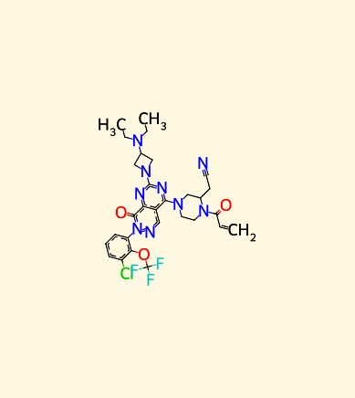 C=CC(=O)N1CCN(c2nc(N3CC(N(CC)CC)C3)nc3c(=O)n(-c4cccc(Cl)c4OC(F)(F)F)ncc23)CC1CC#N